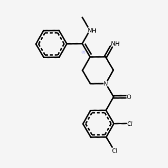 CN/C(=C1/CCN(C(=O)c2cccc(Cl)c2Cl)CC1=N)c1ccccc1